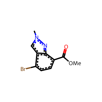 COC(=O)c1ccc(Br)c2cn(C)nc12